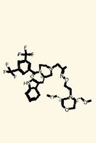 COC[C@@H]1COC[C@H](COC)N1CCON=C(C)CN1CCN(C(=O)c2cc(C(F)(F)F)cc(C(F)(F)F)c2)[C@H](Cc2c[nH]c3ccccc23)C1